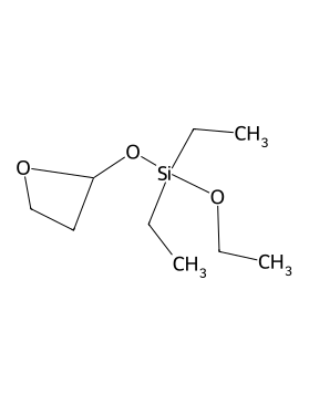 CCO[Si](CC)(CC)OC1CCO1